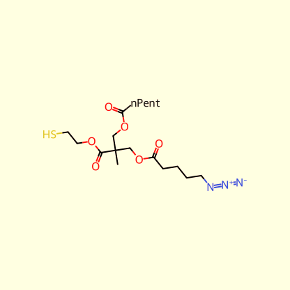 CCCCCC(=O)OCC(C)(COC(=O)CCCCN=[N+]=[N-])C(=O)OCCS